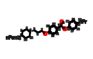 CCCCC[C@H]1CC[C@H](CCCOc2ccc(C(=O)Oc3ccc(CCC)cc3)cc2)CC1